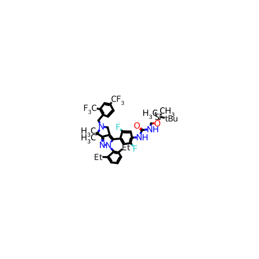 CCc1cccc(CC)c1-n1nc2c(c1-c1cc(F)c(NC(=O)NCO[Si](C)(C)C(C)(C)C)cc1F)CN(Cc1ccc(C(F)(F)F)cc1C(F)(F)F)C2(C)C